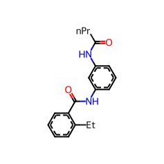 CCCC(=O)Nc1cccc(NC(=O)c2ccccc2CC)c1